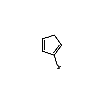 BrC1=CCC=C1